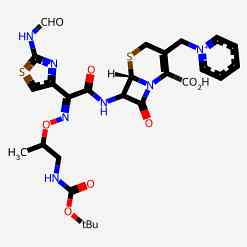 CC(CNC(=O)OC(C)(C)C)ON=C(C(=O)NC1C(=O)N2C(C(=O)O)=C(C[n+]3ccccc3)CS[C@@H]12)c1csc(NC=O)n1